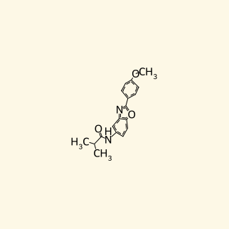 COc1ccc(-c2nc3cc(NC(=O)C(C)C)ccc3o2)cc1